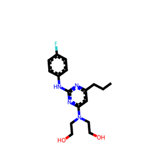 CCCc1cc(N(CCO)CCO)nc(Nc2ccc(F)cc2)n1